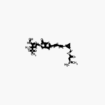 CN(C)CC(=O)OC[C@H]1C[C@@H]1C#CC#Cc1cc2c(s1)C(=O)N(CCC(C)(C(=O)NO)S(C)(=O)=O)C2